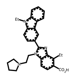 CCc1c(C(=O)O)ccc2c1nc(-c1ccc3c(c1)c1ccccc1n3CC)n2CCN1CCCC1